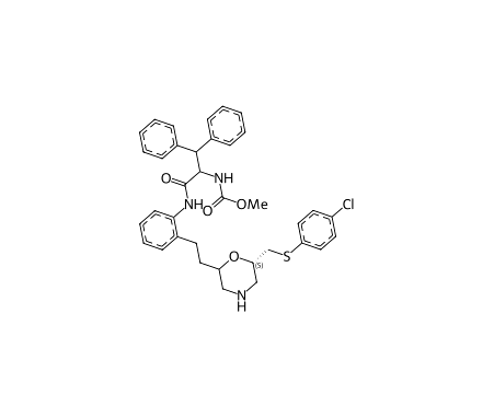 COC(=O)NC(C(=O)Nc1ccccc1CCC1CNC[C@@H](CSc2ccc(Cl)cc2)O1)C(c1ccccc1)c1ccccc1